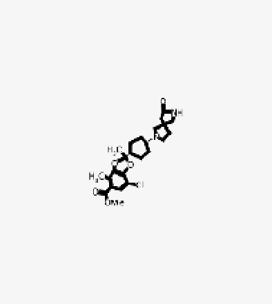 COC(=O)c1cc(Cl)c2c(c1C)OC(C)([C@H]1CC[C@@H](N3CCC4(CNC(=O)C4)C3)CC1)O2